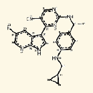 [C-]#[N+]c1cnc(N[C@H](C)c2ccc(NCC3CC3)cc2)nc1-c1c[nH]c2ncc(F)cc12